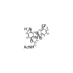 CC(=O)NCC1CN(S(=O)(=O)c2cccc(C(F)(F)F)c2)c2cc(N)ccc2O1